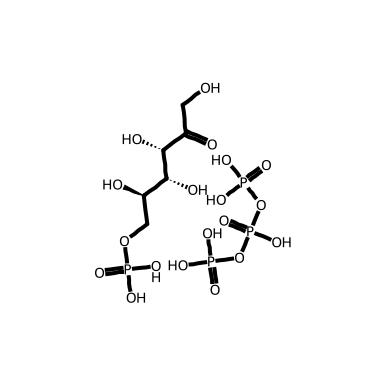 O=C(CO)[C@@H](O)[C@H](O)[C@H](O)COP(=O)(O)O.O=P(O)(O)OP(=O)(O)OP(=O)(O)O